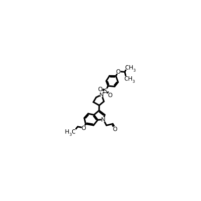 CCOc1ccc2c(C3CCN(S(=O)(=O)c4ccc(OC(C)C)cc4)C3)cn(CC=O)c2c1